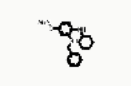 CNSc1ccc(NC2CCCCC2)c(NCc2ccccc2)c1